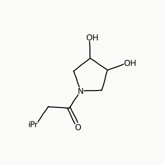 CC(C)CC(=O)N1CC(O)C(O)C1